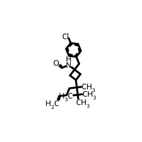 C=CCCC(C)(C1CC(Cc2ccc(Cl)cc2)(NC=O)C1)C(C)(C)C